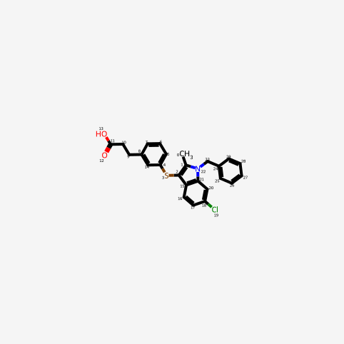 Cc1c(Sc2cccc(CCC(=O)O)c2)c2ccc(Cl)cc2n1Cc1ccccc1